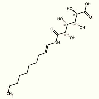 CCCCCCCCC=CNC(=O)[C@@H](O)[C@H](O)[C@@H](O)[C@@H](O)C(=O)O